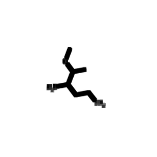 BC(CCP)C(C)OC